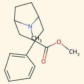 COC(=O)C1(c2ccccc2)CC2CCC(C1)N2C